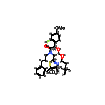 COc1ccc([C@@H](OCOCC[Si](C)(C)C)C(=O)N(CCCc2ccccc2)Cc2nc(C(=O)O)c(C)s2)c(F)c1